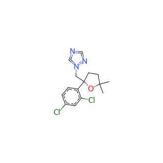 CC1(C)CCC(Cn2cncn2)(c2ccc(Cl)cc2Cl)O1